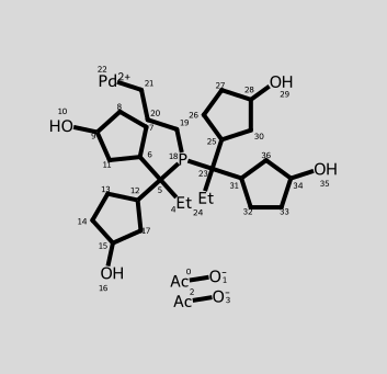 CC(=O)[O-].CC(=O)[O-].CCC(C1CCC(O)C1)(C1CCC(O)C1)P(CC[CH2][Pd+2])C(CC)(C1CCC(O)C1)C1CCC(O)C1